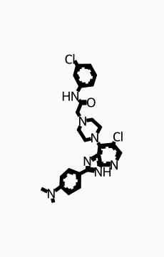 CN(C)c1ccc(-c2nc3c(N4CCN(CC(=O)Nc5cccc(Cl)c5)CC4)c(Cl)cnc3[nH]2)cc1